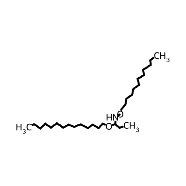 CCCCCCCCCCCCCCOC(CC)NOCCCCCCCCCCCC